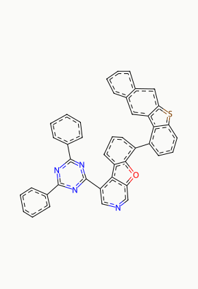 c1ccc(-c2nc(-c3ccccc3)nc(-c3cncc4oc5c(-c6cccc7sc8cc9ccccc9cc8c67)cccc5c34)n2)cc1